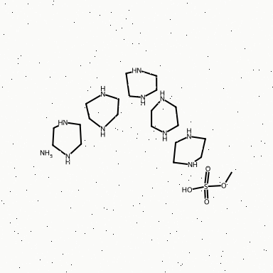 C1CNCCN1.C1CNCCN1.C1CNCCN1.C1CNCCN1.C1CNCCN1.COS(=O)(=O)O.N